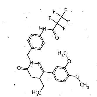 CCC1CC(=O)N(Cc2ccc(NC(=O)C(F)(F)C(F)(F)F)cc2)N=C1c1ccc(OC)c(OC)c1